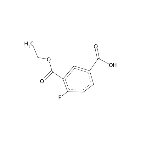 CCOC(=O)c1cc(C(=O)O)ccc1F